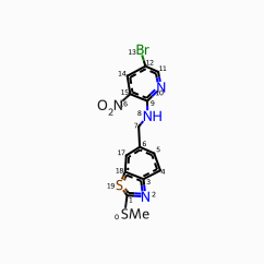 CSc1nc2ccc(CNc3ncc(Br)cc3[N+](=O)[O-])cc2s1